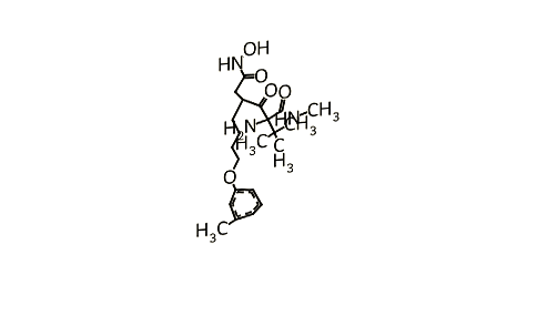 CNC(=O)C(N)(C(=O)C(CCCCOc1cccc(C)c1)CC(=O)NO)C(C)(C)C